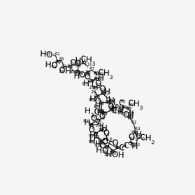 C=C1C[C@@H]2CC[C@]34OC5C6O[C@H]7CC[C@H](CC(=O)O[C@@H]8[C@@H](C)[C@@H]9O[C@@H]%10C[C@@]%11(C[C@@H]%12O[C@]%13(C[C@H](C)[C@@H]%14O[C@H]([C@@H](O)C[C@@H](O)CO)C[C@@H]%14O%13)C[C@H](C)[C@@H]%12O%11)O[C@@H]%10C[C@@H]9O[C@H]8C[C@H]8O[C@@H](CC[C@@H]1O2)C[C@@H](C)C8=C)O[C@@H]7[C@H](O3)[C@@H]6O[C@@]5(O)[C@H]4O